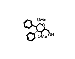 CO[C@@H]1OC(CO)[C@@H](OC)[C@H](c2ccccc2)C1c1ccccc1